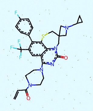 C=CC(=O)N1CCN(c2nc(=O)n3c4c(c(-c5ccc(F)cc5)c(C(F)(F)F)cc24)SCC2(CN(C4CC4)C2)C3)CC1